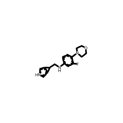 Fc1cc(NCC2c3c[nH]cc32)ccc1N1CCOCC1